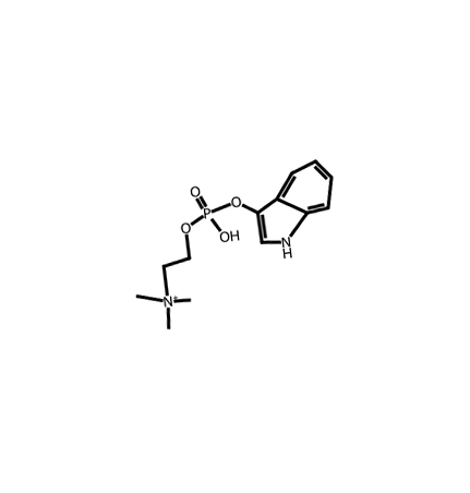 C[N+](C)(C)CCOP(=O)(O)Oc1c[nH]c2ccccc12